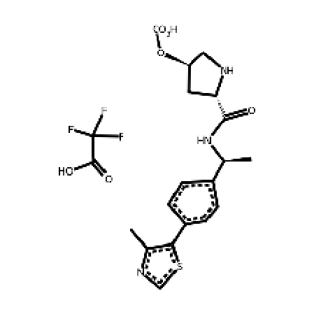 Cc1ncsc1-c1ccc([C@H](C)NC(=O)[C@@H]2C[C@@H](OC(=O)O)CN2)cc1.O=C(O)C(F)(F)F